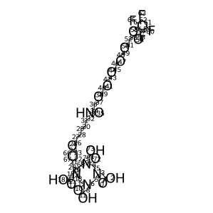 O=C(O)CN1CCN(CC(=O)O)CCN(CC(=O)O)[C@@H](Cc2ccc(OCCCCCCCNC(=O)CCOCCOCCOCCOCCOCCC(=O)Oc3c(F)c(F)cc(F)c3F)cc2)CN(CC(=O)O)CC1